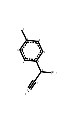 Cc1ccc(C(F)C#N)cc1